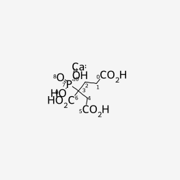 O=C(O)CCC(CC(=O)O)(C(=O)O)P(=O)(O)O.[Ca]